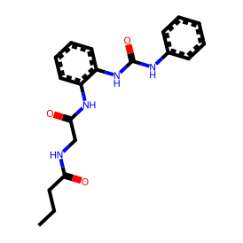 CCCC(=O)NCC(=O)Nc1ccccc1NC(=O)Nc1ccccc1